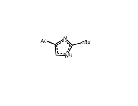 CC(=O)c1c[nH]c(C(C)(C)C)n1